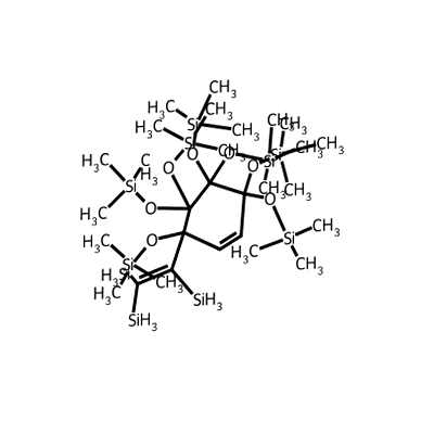 C[Si](C)(C)OC1(O[Si](C)(C)C)C=CC(O[Si](C)(C)C)(C([SiH3])=C([SiH3])[SiH3])C(O[Si](C)(C)C)(O[Si](C)(C)C)C1(O[Si](C)(C)C)O[Si](C)(C)C